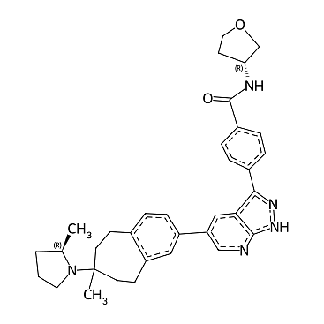 C[C@@H]1CCCN1C1(C)CCc2ccc(-c3cnc4[nH]nc(-c5ccc(C(=O)N[C@@H]6CCOC6)cc5)c4c3)cc2CC1